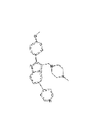 COc1ccc(-c2nc3ccc(-c4ccncc4)cn3c2CN2CCN(C)CC2)cc1